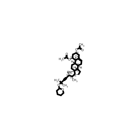 CC(=O)O[C@@H]1CC2=CC[C@H]3[C@@H]4CC[C@H]([C@H](C)[C@@H](O)C#CC(C)(C)OC5CCCCO5)[C@@]4(C)CC[C@@H]3[C@@]2(C)[C@@H](OC(C)=O)C1